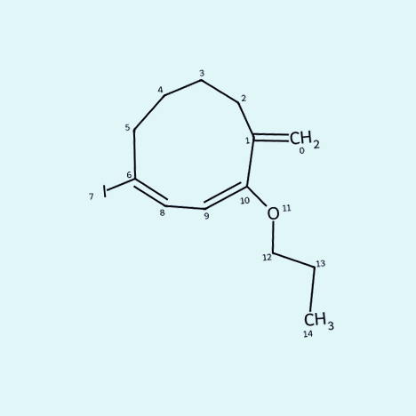 C=C1CCCC/C(I)=C\C=C/1OCCC